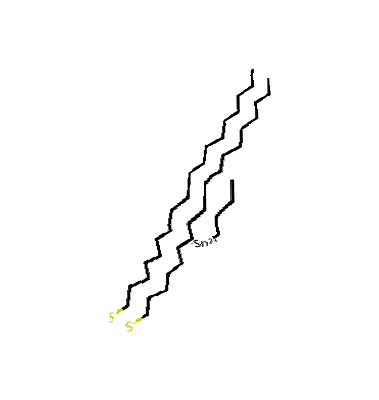 CCCCCCCCCCCCCCCCCC[S-].CCCCCCCCCCCCCCCCCC[S-].CCC[CH2][Sn+2]